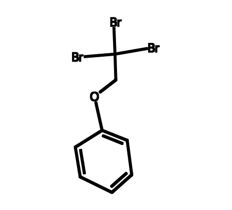 BrC(Br)(Br)COc1ccccc1